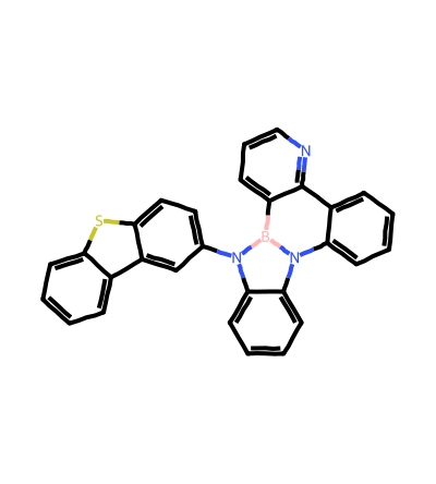 c1cnc2c(c1)B1N(c3ccc4sc5ccccc5c4c3)c3ccccc3N1c1ccccc1-2